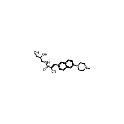 CN1CCN(c2ccc3cc(/C=C(\C#N)[S+]([O-])NCC(O)CO)ccc3c2)CC1